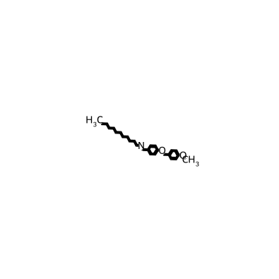 CCCCCCCCCCCCN=Cc1ccc(OCc2ccc(OC)cc2)cc1